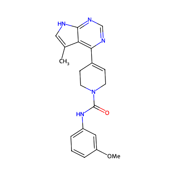 COc1cccc(NC(=O)N2CC=C(c3ncnc4[nH]cc(C)c34)CC2)c1